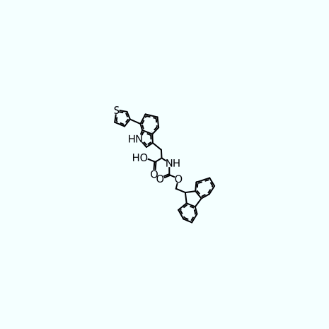 O=C(NC(Cc1c[nH]c2c(-c3ccsc3)cccc12)C(=O)O)OCC1c2ccccc2-c2ccccc21